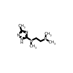 Cc1n[nH]c(N(C)CCN(C)C)n1